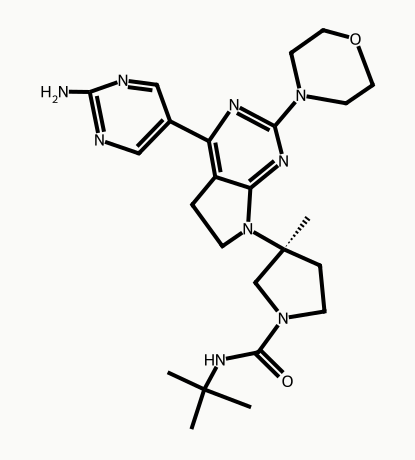 CC(C)(C)NC(=O)N1CC[C@](C)(N2CCc3c(-c4cnc(N)nc4)nc(N4CCOCC4)nc32)C1